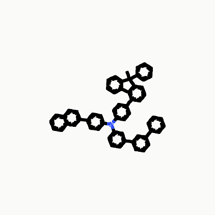 CC1(c2ccccc2)c2ccccc2-c2c(-c3ccc(N(c4ccc(-c5ccc6ccccc6c5)cc4)c4cccc(-c5cccc(-c6ccccc6)c5)c4)cc3)cccc21